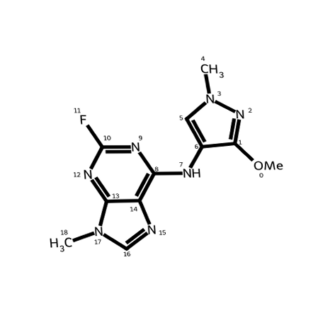 COc1nn(C)cc1Nc1nc(F)nc2c1ncn2C